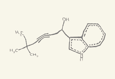 CC(C)(C)C#CC(O)c1c[nH]c2ccccc12